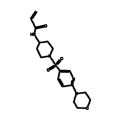 C=CC(=O)NC1CCN(S(=O)(=O)c2ccc(N3CCOCC3)nc2)CC1